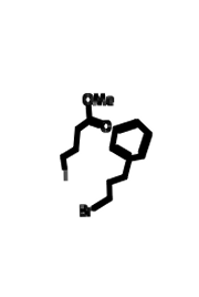 BrCCCc1ccccc1.COC(=O)CCCI